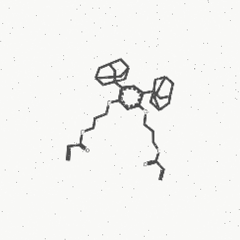 C=CC(=O)OCCCOc1cc(OCCCOC(=O)C=C)c(C23CC4CC(CC(C4)C2)C3)cc1C12CC3CC(CC(C3)C1)C2